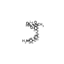 Cn1c(=O)n(C2CCC(=O)NC2=O)c2ccc(CCCN3CCN(Cc4ccc(N)cc4)CC3)cc21